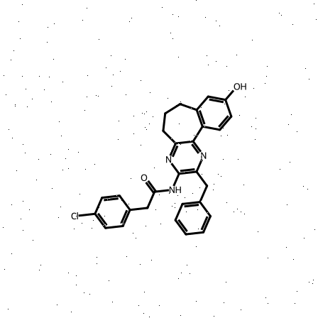 O=C(Cc1ccc(Cl)cc1)Nc1nc2c(nc1Cc1ccccc1)-c1ccc(O)cc1CCC2